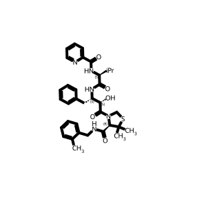 Cc1ccccc1CNC(=O)[C@H]1N(C(=O)[C@@H](O)[C@H](Cc2ccccc2)NC(=O)[C@@H](NC(=O)c2ccccn2)C(C)C)CSC1(C)C